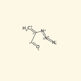 C=C(C=O)N=[N+]=[N-]